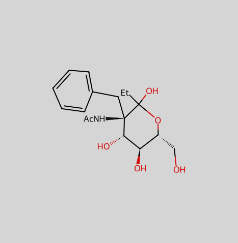 CCC1(O)O[C@H](CO)[C@@H](O)[C@H](O)[C@@]1(Cc1ccccc1)NC(C)=O